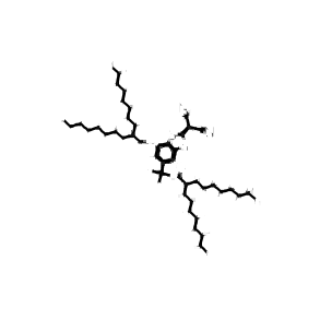 CCCCCCCCC(CCCCCCCC)COc1cc(C(C)(C)C)c(OCC(CCCCCCCC)CCCCCCCC)c2c1SC(=C(C#N)C#N)S2